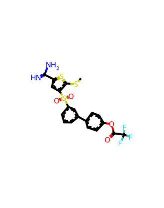 CSc1sc(C(=N)N)cc1S(=O)(=O)c1cccc(-c2ccc(OC(=O)C(F)(F)F)cc2)c1